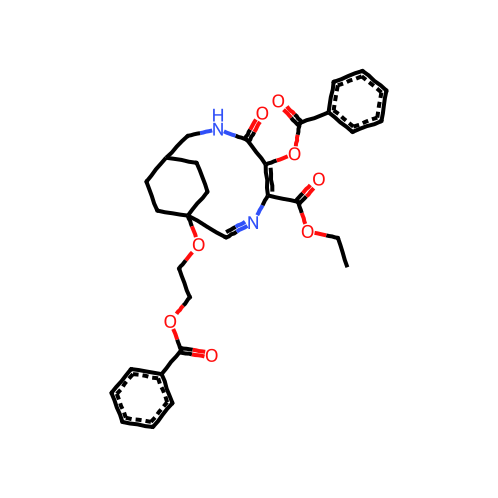 CCOC(=O)C1=C(OC(=O)c2ccccc2)C(=O)NCC2CCC(OCCOC(=O)c3ccccc3)(C=N1)CC2